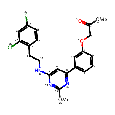 COC(=O)COc1cccc(-c2cc(NCCc3ccc(Cl)cc3Cl)nc(OC)n2)c1